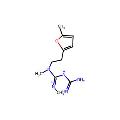 C/N=C(\NC(=N)N)N(C)CCc1ccc(C)o1